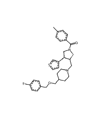 Cc1ccc(C(=O)N2CC(CN3CCC(COCc4ccc(F)cc4)CC3)C(c3ccsc3)C2)cc1